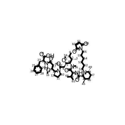 CC[C@H](C)[C@@H]([C@@H](CC(=O)N1CCC[C@H]1[C@H](OC)[C@@H](C)C(=O)N[C@@H](Cc1ccccc1)C(=O)O)OC)N(C)C(=O)[C@@H](NC(=O)[C@@H]1[C@H](C)CC[C@@H](C)N1CCCCCCN1C(=O)C=CC1=O)C(C)C